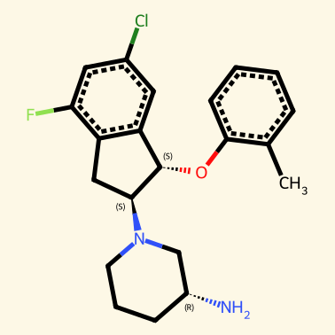 Cc1ccccc1O[C@H]1c2cc(Cl)cc(F)c2C[C@@H]1N1CCC[C@@H](N)C1